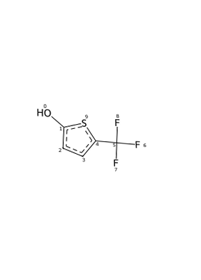 Oc1ccc(C(F)(F)F)s1